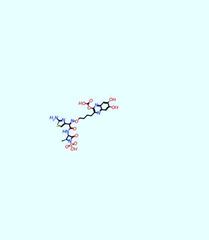 C[C@H]1[C@@H](NC(=O)/C(=N\OCCCCc2nc3cc(O)c(O)cc3nc2OC(=O)O)c2csc(N)n2)C(=O)N1S(=O)(=O)O